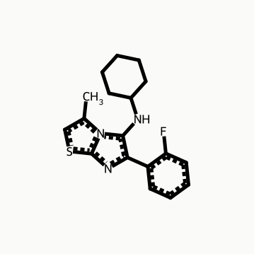 Cc1csc2nc(-c3ccccc3F)c(NC3CCCCC3)n12